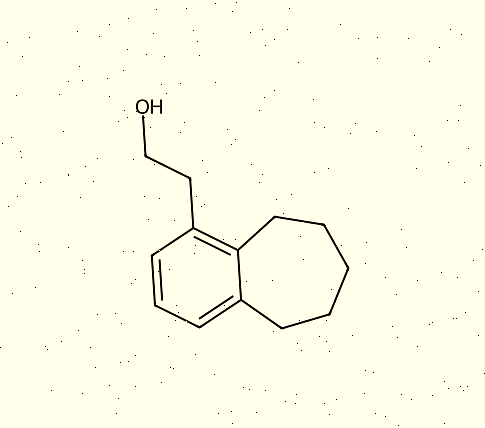 OCCc1cccc2c1CCCCC2